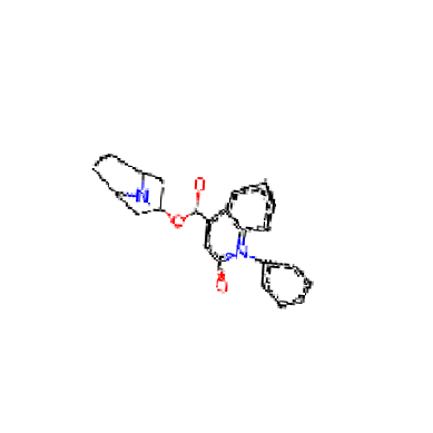 CN1C2CCC1CC(OC(=O)c1cc(=O)n(-c3ccccc3)c3ccccc13)C2